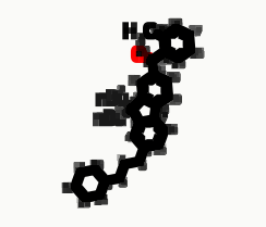 CCCCC1(CCCC)c2cc(CCCC3CCCCC3)ccc2-c2ccc(C(=O)c3ccccc3C)cc21